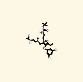 CCc1nn(CCNC(=O)OC(C)(C)C)c(CNCCNC(C)=O)c1Oc1cc(Cl)cc(Cl)c1